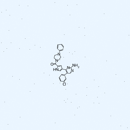 Nc1ncc(-c2cccc(Cl)c2)c(-c2c[nH]c(C(=O)N3CCN(c4ccccc4)CC3)c2)n1